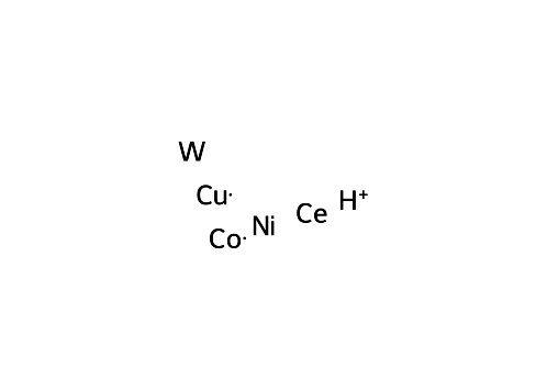 [Ce].[Co].[Cu].[H+].[Ni].[W]